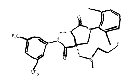 Cc1cccc(C)c1N1C[C@@](CN(C)CCF)(C(=O)Nc2cc(C(F)(F)F)cc(C(F)(F)F)c2)[C@H](C)C1=O